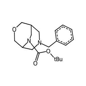 CC(C)(C)OC(=O)N1CC2COCC1CN(Cc1ccccc1)C2